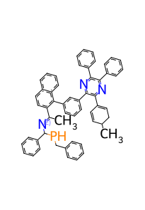 C/C(=N\C(PCc1ccccc1)c1ccccc1)c1ccc2ccccc2c1-c1cccc(-c2nc(-c3ccccc3)c(-c3ccccc3)nc2C2=CCC(C)C=C2)c1